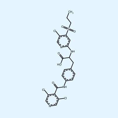 CCCS(=O)(=O)c1cc(NC(Cc2ccc(NC(=O)c3c(Cl)cncc3Cl)cc2)C(=O)O)ncc1Cl